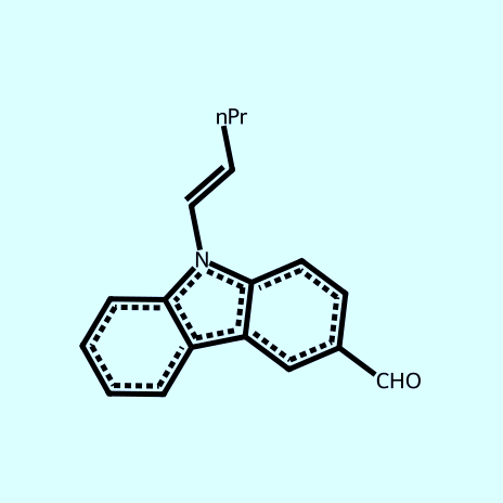 CCCC=Cn1c2ccccc2c2cc(C=O)ccc21